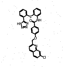 O=C(Nc1ccccc1Sc1ccccc1-c1nnn[nH]1)c1ccc(OCc2ccc3ccc(Cl)cc3n2)cc1